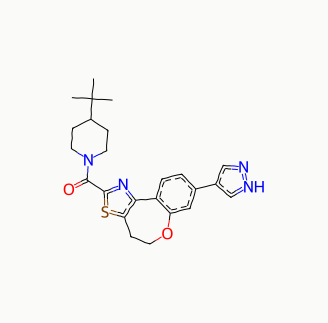 CC(C)(C)C1CCN(C(=O)c2nc3c(s2)CCOc2cc(-c4cn[nH]c4)ccc2-3)CC1